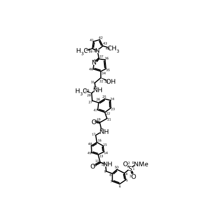 CNS(=O)(=O)c1cccc(CNC(=O)c2ccc(CNC(=O)Cc3cccc(C[C@@H](C)NC[C@H](O)c4ccc(-n5c(C)ccc5C)nc4)c3)cc2)c1